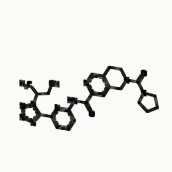 CC(CO)n1nnnc1-c1cccc(NC(=O)c2cc3c(cn2)CCN(C(=O)N2CCCC2)C3)n1